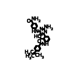 CC(C)(C)c1ccc(C(=O)Nc2cccc(-c3nc(N)nc(Nc4ccc(C(N)=O)cc4)n3)c2CO)cc1